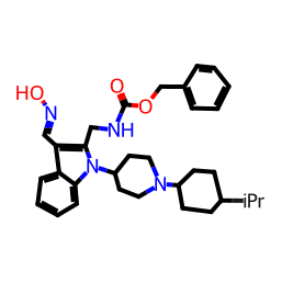 CC(C)C1CCC(N2CCC(n3c(CNC(=O)OCc4ccccc4)c(/C=N/O)c4ccccc43)CC2)CC1